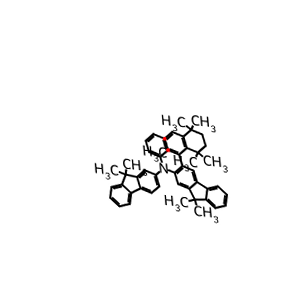 Cc1ccc2c(c1-c1cc3c(cc1N(c1ccccc1)c1ccc4c(c1)C(C)(C)c1ccccc1-4)C(C)(C)c1ccccc1-3)C(C)(C)CCC2(C)C